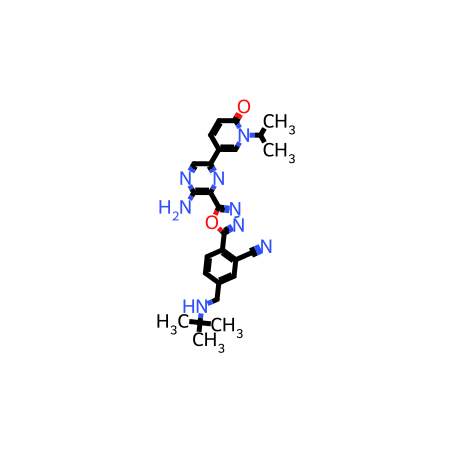 CC(C)n1cc(-c2cnc(N)c(-c3nnc(-c4ccc(CNC(C)(C)C)cc4C#N)o3)n2)ccc1=O